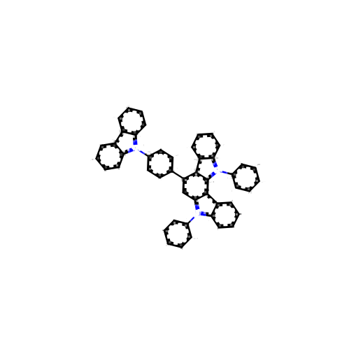 c1ccc(-n2c3ccccc3c3c2cc(-c2ccc(-n4c5ccccc5c5ccccc54)cc2)c2c4ccccc4n(-c4ccccc4)c23)cc1